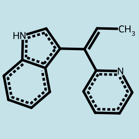 CC=C(c1ccccn1)c1c[nH]c2ccccc12